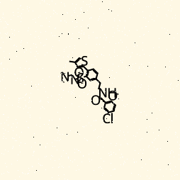 COc1ccc(Cl)cc1C(=O)NCCc1ccc(-c2cc(C)cs2)c(S(=O)(=O)N=CN(C)C)c1